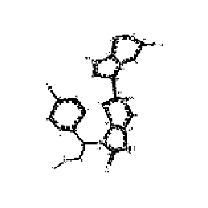 COCC(c1ccc(F)cn1)n1c(=O)[nH]c2cnc(-c3cnc4ccc(F)cn34)nc21